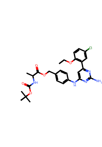 CCOc1ccc(Cl)cc1-c1cc(Nc2ccc(COC(=O)C(C)NC(=O)OC(C)(C)C)cc2)nc(N)n1